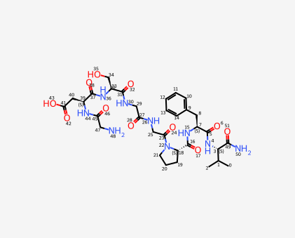 CC(C)[C@H](NC(=O)[C@H](Cc1ccccc1)NC(=O)[C@@H]1CCCN1C(=O)CNC(=O)CNC(=O)[C@H](CO)NC(=O)[C@H](CC(=O)O)NC(=O)CN)C(N)=O